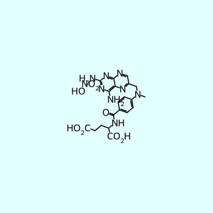 CN(Cc1cnc2nc(N)nc(N)c2n1)c1ccc(C(=O)NC(CCC(=O)O)C(=O)O)cc1.O=[N+]([O-])O